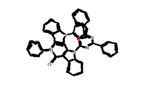 O=c1c2c3ccccc3n(-c3nc(-c4ccccc4)nc(-c4ccccc4)n3)c2c2c(c3ccccc3n2-c2ccccc2)n1-c1ccccc1